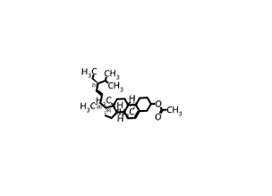 CC[C@H](C=C[C@@H](C)[C@H]1CC[C@H]2[C@@H]3CC=C4CC(OC(C)=O)CC[C@]4(C)[C@H]3CC[C@]12C)C(C)C